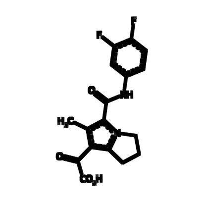 Cc1c(C(=O)C(=O)O)c2n(c1C(=O)Nc1ccc(F)c(F)c1)CCC2